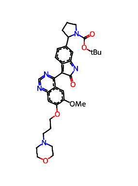 COc1cc2c(C3=c4ccc(C5CCCN5C(=O)OC(C)(C)C)cc4=NC3=O)ncnc2cc1OCCCN1CCOCC1